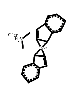 C1=[C]2[CH](c3ccccc31)[Zr+2]21[C]2=Cc3ccccc3[CH]21.C[SiH2]C.[Cl-].[Cl-]